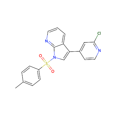 Cc1ccc(S(=O)(=O)n2cc(-c3ccnc(Cl)c3)c3cccnc32)cc1